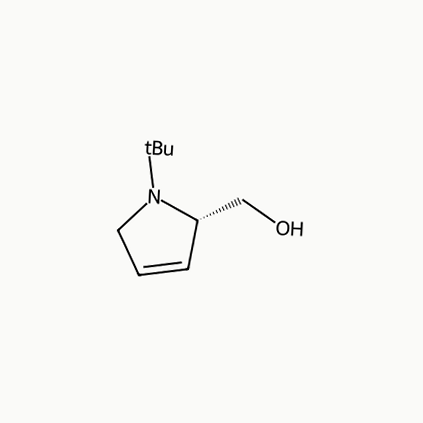 CC(C)(C)N1CC=C[C@H]1CO